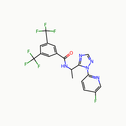 CC(NC(=O)c1cc(C(F)(F)F)cc(C(F)(F)F)c1)c1ncnn1-c1ccc(F)cn1